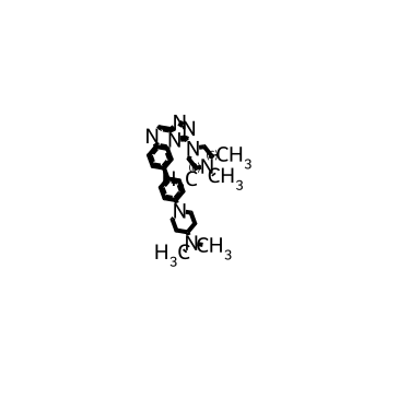 C[C@@H]1CN(c2nnc3cnc4ccc(-c5ccc(N6CCC(N(C)C)CC6)cc5)cc4n23)C[C@H](C)N1C